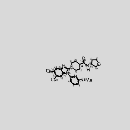 COc1cccc(-n2c(N3CCC(C(=O)N[C@@H]4CCOC4)CC3)nc3cc(Cl)c(Cl)cc32)n1